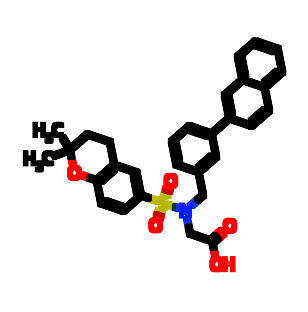 CC1(C)CCc2cc(S(=O)(=O)N(CC(=O)O)Cc3cccc(-c4ccc5ccccc5c4)c3)ccc2O1